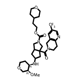 CO[C@H]1COCC[C@H]1NC1CC2CN(C(=O)OCCC3CCOCC3)CC2(C(=O)N2CCc3ncc(C(F)(F)F)cc3C2)C1